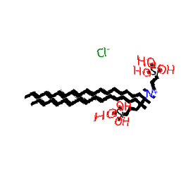 CCCCCCCCCCCCCCCCCCC(C)(C(C)(CCCCCCCCCCCCCCCC)CCC[Si](O)(O)O)[N+](C)(C)CCC[Si](O)(O)O.[Cl-]